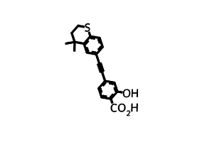 CC1(C)CCSc2ccc(C#Cc3ccc(C(=O)O)c(O)c3)cc21